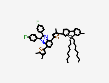 CCCCCCCC[Si]1(CCCCCCCC)c2cc(C)ccc2-c2ccc(-c3sc(-c4ccc(-c5cc(C)c(C)s5)c5nc(-c6ccc(F)cc6)c(-c6ccc(F)cc6)nc45)cc3C)cc21